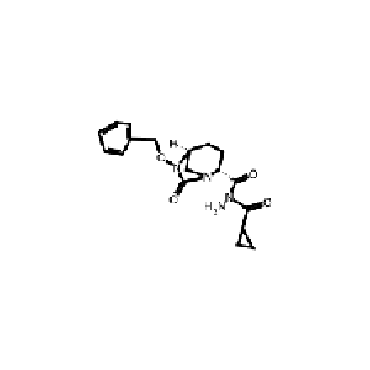 NN(C(=O)C1CC1)C(=O)[C@H]1CC[C@H]2CN1C(=O)N2OCc1ccccc1